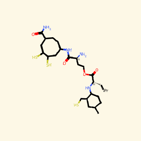 CC(C)C[C@H](NC1CCC(C)CC1CS)C(=O)OCC[C@H](N)C(=O)NC1CCC(C(N)=O)CC(S)C(S)C1